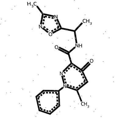 Cc1noc(C(C)NC(=O)c2nn(-c3ccccc3)c(C)cc2=O)n1